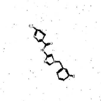 Cc1ccc(C(=O)Nc2cn(Cc3cccc(Cl)c3)cn2)cn1